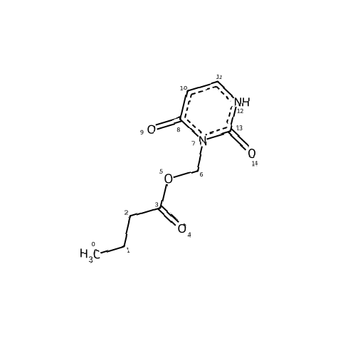 CCCC(=O)OCn1c(=O)cc[nH]c1=O